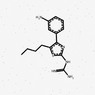 CCCCc1sc(NC(=N)N)nc1-c1cccc(N)c1